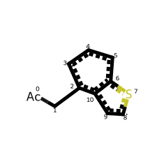 CC(=O)Cc1cccc2s[c]cc12